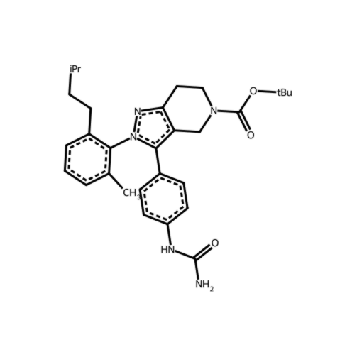 Cc1cccc(CCC(C)C)c1-n1nc2c(c1-c1ccc(NC(N)=O)cc1)CN(C(=O)OC(C)(C)C)CC2